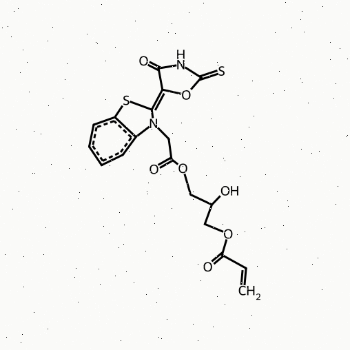 C=CC(=O)OCC(O)COC(=O)CN1/C(=C2\OC(=S)NC2=O)Sc2ccccc21